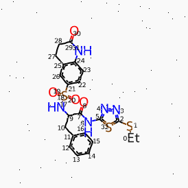 CCSc1nnc(NC(=O)C(Cc2ccccc2)NS(=O)(=O)c2ccc3c(c2)CCC(=O)N3)s1